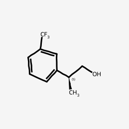 C[C@H](CO)c1cccc(C(F)(F)F)c1